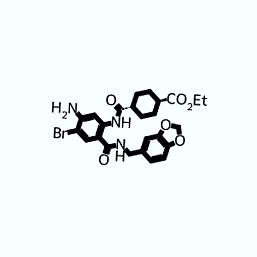 CCOC(=O)[C@H]1CC[C@H](C(=O)Nc2cc(N)c(Br)cc2C(=O)NCc2ccc3c(c2)OCO3)CC1